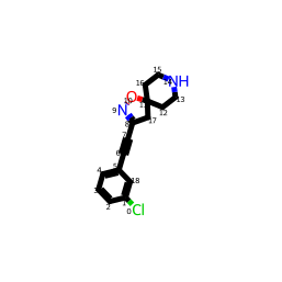 Clc1cccc(C#CC2=NOC3(CCNCC3)C2)c1